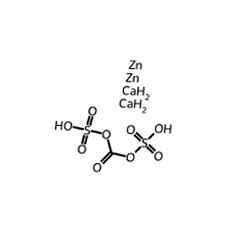 O=C(OS(=O)(=O)O)OS(=O)(=O)O.[CaH2].[CaH2].[Zn].[Zn]